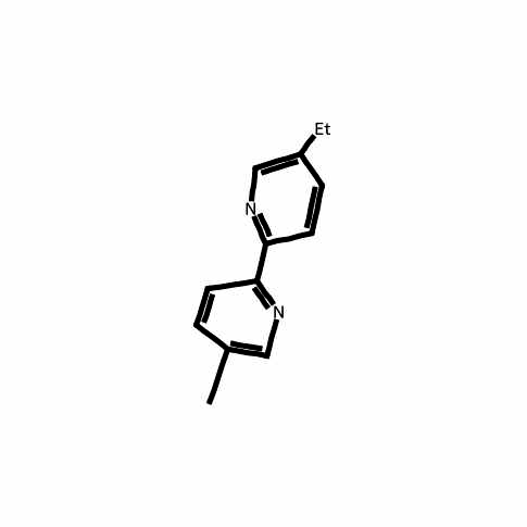 CCc1ccc(-c2ccc(C)cn2)nc1